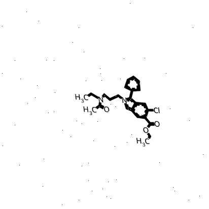 CCOC(=O)c1cc2cn(CCCN(CC)C(C)=O)c(-c3ccccc3)c2cc1Cl